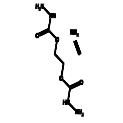 C=C.N.NNC(=O)OCCOC(=O)NN